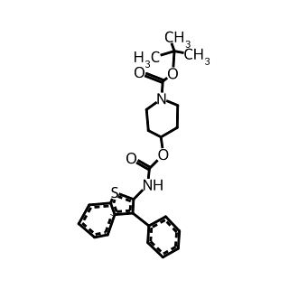 CC(C)(C)OC(=O)N1CCC(OC(=O)Nc2sc3ccccc3c2-c2ccccc2)CC1